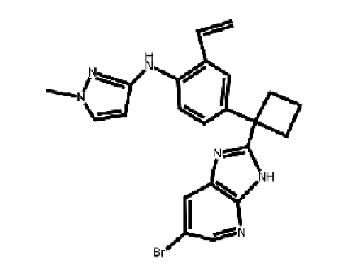 C=Cc1cc(C2(c3nc4cc(Br)cnc4[nH]3)CCC2)ccc1Nc1ccn(C)n1